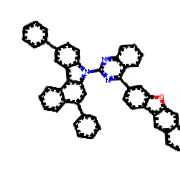 c1ccc(-c2ccc3c(c2)c2c4ccccc4c(-c4ccccc4)cc2n3-c2nc(-c3ccc4c(c3)oc3cc5ccccc5cc34)c3ccccc3n2)cc1